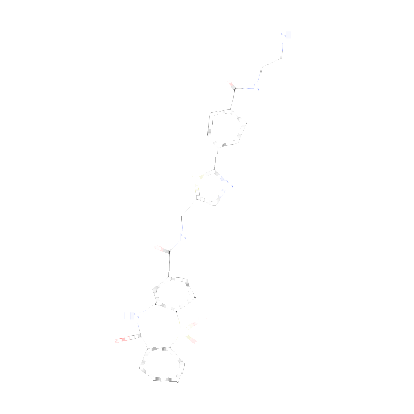 Cl.NCCNC(=O)c1ccc(-c2ncc(CNC(=O)c3ccc4c(c3)NC(=O)c3ccccc3S4(=O)=O)s2)cc1